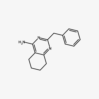 Nc1nc(Cc2ccccc2)nc2c1CCCC2